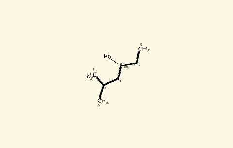 CC[C@@H](O)CC(C)C